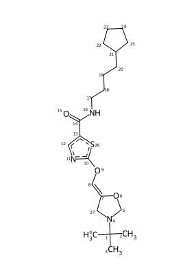 CC(C)(C)N1COC(=COc2ncc(C(=O)NCCCCC3CCCC3)s2)C1